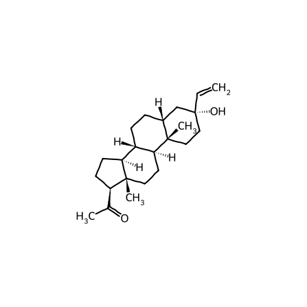 C=C[C@@]1(O)CC[C@@]2(C)[C@H](CC[C@@H]3[C@@H]2CC[C@]2(C)[C@@H](C(C)=O)CC[C@@H]32)C1